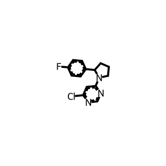 Fc1ccc(C2CCCN2c2cc(Cl)ncn2)cc1